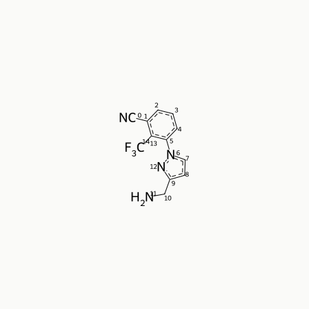 N#Cc1cccc(-n2ccc(CN)n2)c1C(F)(F)F